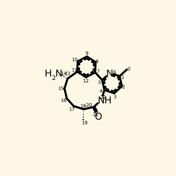 Cc1ccc2c(n1)-c1cccc(c1)[C@@H](N)CCC[C@@H](C)C(=O)N2